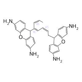 C\C=C/C(=C\C=C/CC1c2ccc(N)cc2Oc2cc(N)ccc21)C1c2ccc(N)cc2Oc2cc(N)ccc21